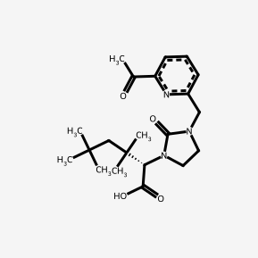 CC(=O)c1cccc(CN2CCN([C@H](C(=O)O)C(C)(C)CC(C)(C)C)C2=O)n1